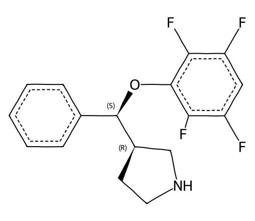 Fc1cc(F)c(F)c(O[C@H](c2ccccc2)[C@@H]2CCNC2)c1F